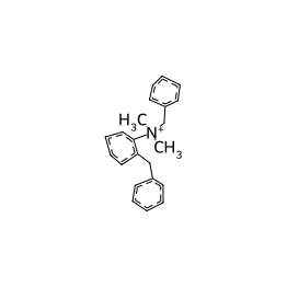 C[N+](C)(Cc1ccccc1)c1ccccc1Cc1ccccc1